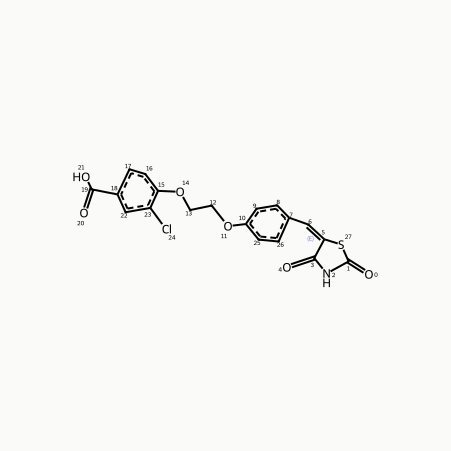 O=C1NC(=O)/C(=C\c2ccc(OCCOc3ccc(C(=O)O)cc3Cl)cc2)S1